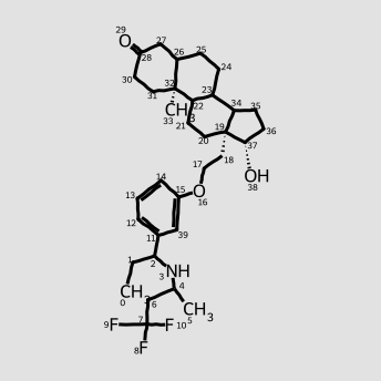 CCC(NC(C)CC(F)(F)F)c1cccc(OCC[C@]23CCC4C(CCC5CC(=O)CC[C@@]54C)C2CC[C@@H]3O)c1